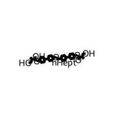 C=C(CO)C(=O)Oc1ccc(-c2ccc(COc3ccc(-c4ccc(OC(O)C(=C)CO)cc4)cc3CCCCCCC)cc2)cc1